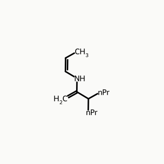 C=C(N/C=C\C)C(CCC)CCC